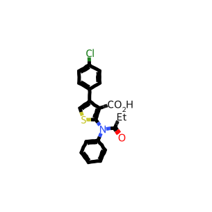 CCC(=O)N(c1ccccc1)c1scc(-c2ccc(Cl)cc2)c1C(=O)O